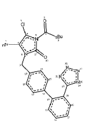 CCCCC(=O)n1c(Cl)c(CCC)n(Cc2ccc(-c3ccccc3-c3nnn[nH]3)cc2)c1=O